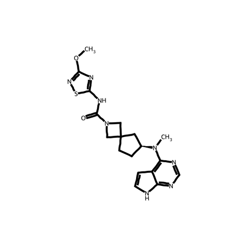 COc1nsc(NC(=O)N2CC3(CC[C@H](N(C)c4ncnc5[nH]ccc45)C3)C2)n1